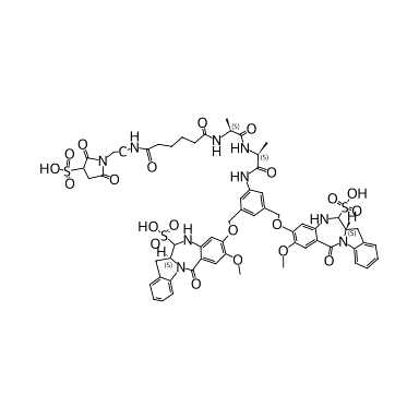 COc1cc2c(cc1OCc1cc(COc3cc4c(cc3OC)C(=O)N3c5ccccc5C[C@H]3C(S(=O)(=O)O)N4)cc(NC(=O)[C@H](C)NC(=O)[C@H](C)NC(=O)CCCCC(=O)NCCN3C(=O)CC(S(=O)(=O)O)C3=O)c1)NC(S(=O)(=O)O)[C@@H]1Cc3ccccc3N1C2=O